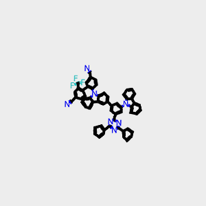 N#Cc1ccc(-n2c3ccccc3c3cc(-c4cc(-c5nc(-c6ccccc6)nc(-c6ccccc6)n5)cc(-n5c6ccccc6c6ccccc65)c4)ccc32)c(-c2ccc(C#N)cc2C(F)(F)F)c1